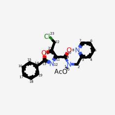 CC(=O)ON(Cc1ccccn1)C(=O)c1nc(-c2ccccc2)oc1CCl